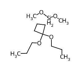 CCCOC1(OCCC)CCC1.CO[SiH2]OC